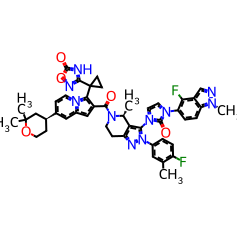 Cc1cc(-n2nc3c(c2-n2ccn(-c4ccc5c(cnn5C)c4F)c2=O)[C@H](C)N(C(=O)c2cc4cc([C@H]5CCOC(C)(C)C5)ccn4c2C2(c4noc(=O)[nH]4)CC2)CC3)ccc1F